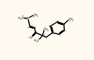 Cc1ccc(CC(C)(C)C(=O)/C=C/N(C)C)cc1